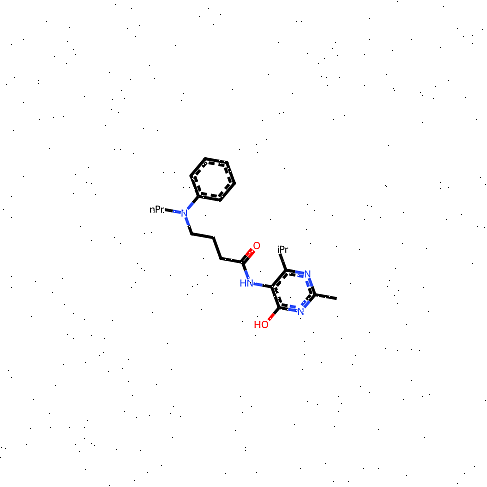 CCCN(CCCC(=O)Nc1c(O)nc(C)nc1C(C)C)c1ccccc1